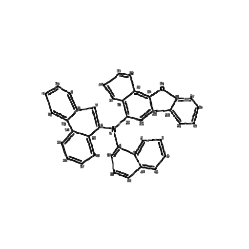 c1ccc2c(N(c3cc4ccccc4c4ccccc34)c3cc4c5ccccc5oc4c4ccccc34)cccc2c1